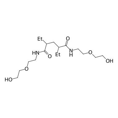 CCC(CC(CC)C(=O)NCCOCCO)C(=O)NCCOCCO